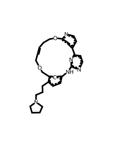 C1=C/COCc2cc(ccc2CCCN2CCCC2)Nc2nccc(n2)-c2ccnc(c2)OCC/1